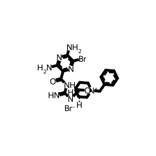 N=C(NC(=O)c1nc(Br)c(N)nc1N)N[C@@H]1C[N+]2(Cc3ccccc3)CCC1CC2.[Br-]